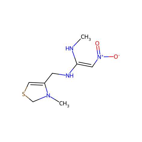 CNC(=C[N+](=O)[O-])NCC1=CSCN1C